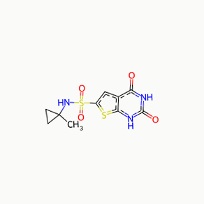 CC1(NS(=O)(=O)c2cc3c(=O)[nH]c(=O)[nH]c3s2)CC1